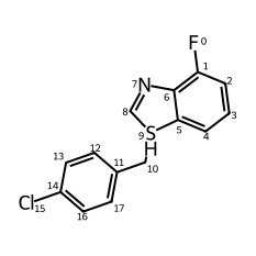 Fc1cccc2c1N=C[SH]2Cc1ccc(Cl)cc1